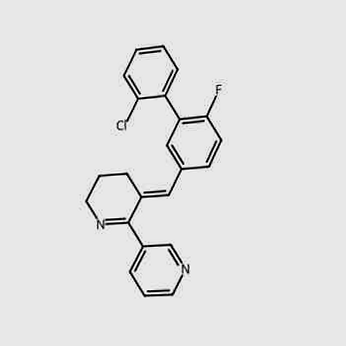 Fc1ccc(C=C2CCCN=C2c2cccnc2)cc1-c1ccccc1Cl